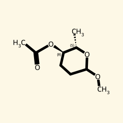 COC1CC[C@@H](OC(C)=O)[C@H](C)O1